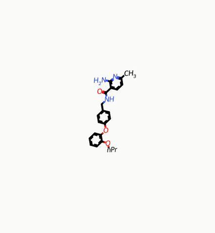 CCCOc1ccccc1Oc1ccc(CNC(=O)c2ccc(C)nc2N)cc1